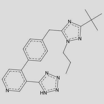 CCCn1nc(C(C)(C)C)nc1Cc1ccc(-c2ccncc2-c2nnn[nH]2)cc1